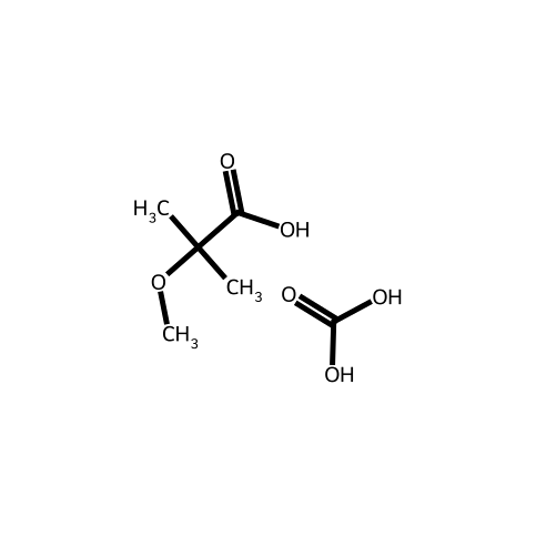 COC(C)(C)C(=O)O.O=C(O)O